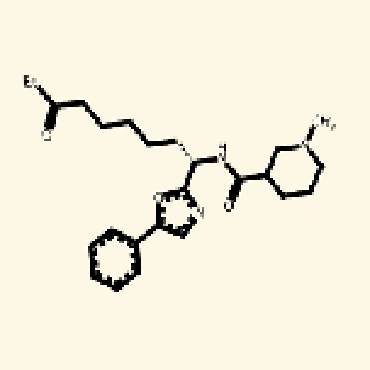 CCC(=O)CCCCC[C@H](NC(=O)C1CCCN(C)C1)c1ncc(-c2ccccc2)o1